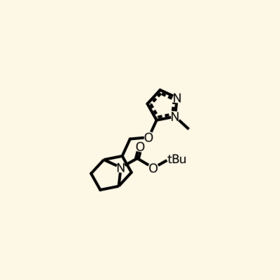 Cn1nccc1OCC1CC2CCC1N2C(=O)OC(C)(C)C